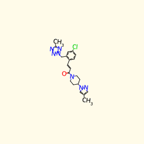 Cc1cnn(C2CCN(C(=O)C=Cc3ccc(Cl)cc3Cn3nnc(C)n3)CC2)c1